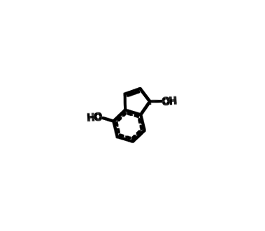 O[C]1C=Cc2c(O)cccc21